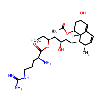 CC[C@H](C)C(=O)O[C@H]1C[C@H](O)C=C2C=C[C@H](C)[C@H](CC[C@@H](O)C[C@H](CC(=O)O)OC(=O)[C@@H](N)CCCNC(=N)N)[C@H]21